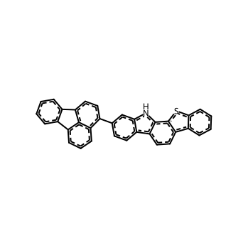 c1ccc2c(c1)-c1cccc3c(-c4ccc5c(c4)[nH]c4c5ccc5c6ccccc6sc54)ccc-2c13